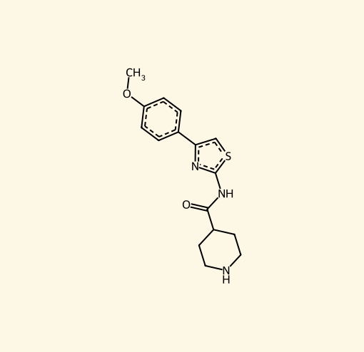 COc1ccc(-c2csc(NC(=O)C3CCNCC3)n2)cc1